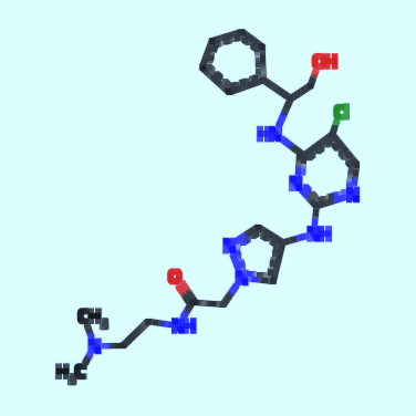 CN(C)CCNC(=O)Cn1cc(Nc2ncc(Cl)c(NC(CO)c3ccccc3)n2)cn1